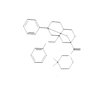 CC1(C)CN(C(=O)C23CCC4CCC(c5ccccc5)(C2)CC4(CSc2ccccc2)C3)CC[C@@H]1N